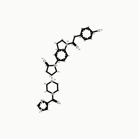 O=C(c1cscn1)N1CCN([C@@H]2CC(=O)N(c3ccc4c(c3)CCN4C(=O)Cc3ccc(Cl)cc3)C2)CC1